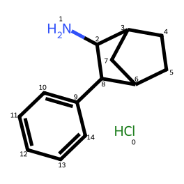 Cl.NC1C2CCC(C2)C1c1ccccc1